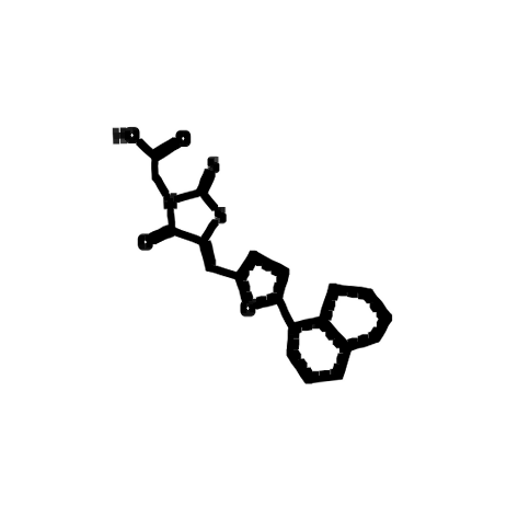 O=C(O)CN1C(=O)C(=Cc2ccc(-c3cccc4ccccc34)o2)SC1=S